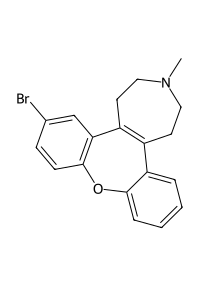 CN1CCC2=C(CC1)c1cc(Br)ccc1Oc1ccccc12